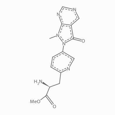 COC(=O)[C@@H](N)Cc1ccc(-n2c(=O)c3cncnc3n2C)cn1